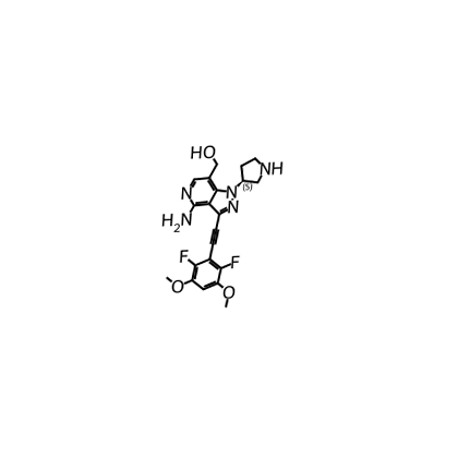 COc1cc(OC)c(F)c(C#Cc2nn([C@H]3CCNC3)c3c(CO)cnc(N)c23)c1F